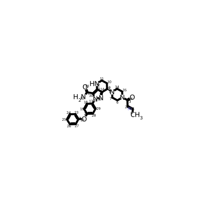 C/C=C/C(=O)N1CCN([C@@H]2CCNc3c2nn(-c2ccc(Oc4ccccc4)cc2)c3C(N)=O)CC1